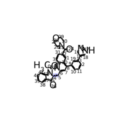 CC(=O)N1/C(=C\c2cc(-c3cccc(-c4cn[nH]c4)c3)c3cc(C(=O)N4CCOCC4)ccc3n2)C(=O)c2ccccc21